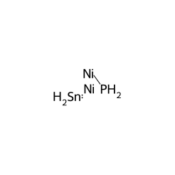 [Ni].[PH2][Ni].[SnH2]